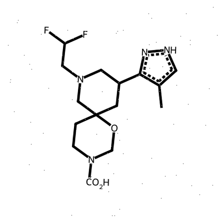 Cc1c[nH]nc1C1CN(CC(F)F)CC2(CCN(C(=O)O)CO2)C1